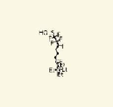 CC[N+](CC)(CC)CC.O=S(=O)(O)C(F)(F)C(F)(F)C(F)CCCC(F)(F)F